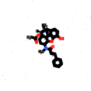 CC(=O)O[C@@]12CCC(N(C)C(=O)/C=C/c3ccccc3)C3Oc4c(O)ccc5c4[C@@]31CCN(C)[C@@H]2C5